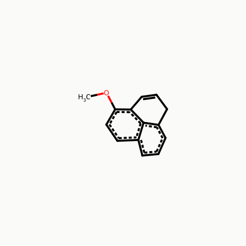 COc1ccc2cccc3c2c1C=CC3